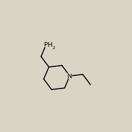 CCN1CCCC(CP)C1